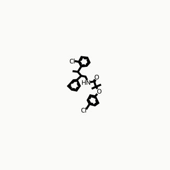 CC(c1ccccc1Cl)C(CNC(=O)C(C)(C)Oc1ccc(Cl)cc1)c1ccccc1